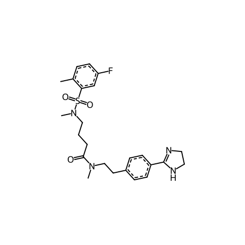 Cc1ccc(F)cc1S(=O)(=O)N(C)CCCC(=O)N(C)CCc1ccc(C2=NCCN2)cc1